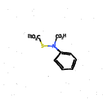 CCOC(=O)SN(C(=O)O)c1ccccc1